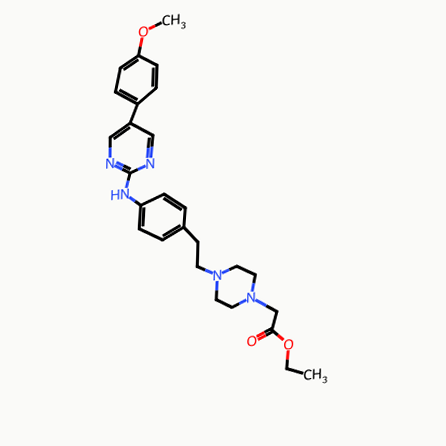 CCOC(=O)CN1CCN(CCc2ccc(Nc3ncc(-c4ccc(OC)cc4)cn3)cc2)CC1